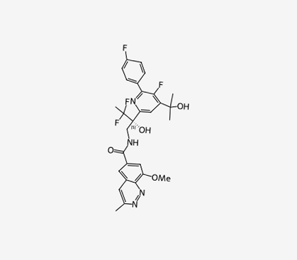 COc1cc(C(=O)NC[C@](O)(c2cc(C(C)(C)O)c(F)c(-c3ccc(F)cc3)n2)C(C)(F)F)cc2cc(C)nnc12